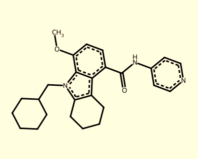 COc1ccc(C(=O)Nc2ccncc2)c2c3c(n(CC4CCCCC4)c12)CCCC3